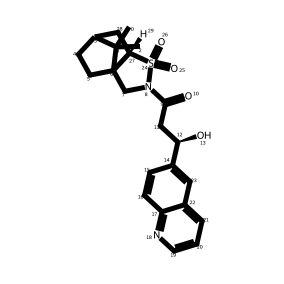 CC1(C)C2CCC13CN(C(=O)C[C@@H](O)c1ccc4ncccc4c1)S(=O)(=O)[C@H]3C2